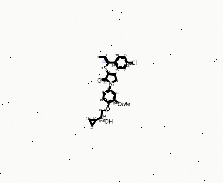 C/C=C(\SC1=CCN(c2ccc(OC[C@H](O)C3CC3)c(OC)c2)C1=O)c1ccc(Cl)cc1